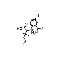 CC(C)(CC=O)C(Nc1ccc(Cl)cc1C(N)=O)C(=O)O